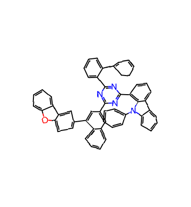 C1=CCCC(c2ccccc2-c2nc(-c3cc(-c4ccc5oc6ccccc6c5c4)c4ccccc4c3)nc(-c3cccc4c5ccccc5n(-c5ccccc5)c34)n2)=C1